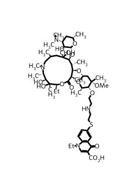 CC[C@@H]1OC(=O)[C@H](C)[C@H](O[C@@H]2C[C@](C)(OC)[C@H](OCCNCCSc3ccc4c(c3)c(=O)c(C(=O)O)cn4CC)[C@H](C)O2)[C@@H](C)[C@H](O[C@H]2O[C@@H](C)C[C@@H](N(C)C)[C@H]2O)[C@](C)(O)C[C@H](C)CN(C)[C@@H](C)[C@H](O)[C@@]1(C)O